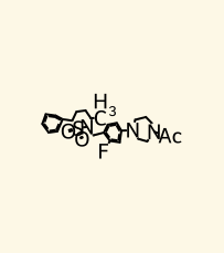 CC(=O)N1CCCN(c2ccc(CN3C(C)CCC(c4ccccc4)S3(=O)=O)c(F)c2)CC1